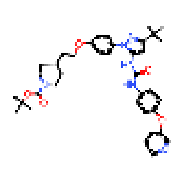 CC(C)(C)OC(=O)N1CCC(CCOc2ccc(-n3nc(C(C)(C)C)cc3NC(=O)Nc3ccc(Oc4cccnc4)cc3)cc2)CC1